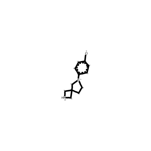 Clc1ccc(N2CCC3(CNC3)C2)cc1